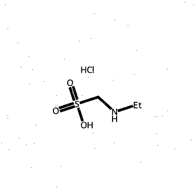 CCNCS(=O)(=O)O.Cl